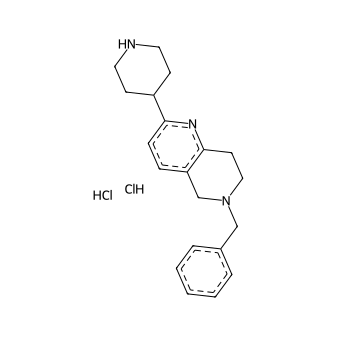 Cl.Cl.c1ccc(CN2CCc3nc(C4CCNCC4)ccc3C2)cc1